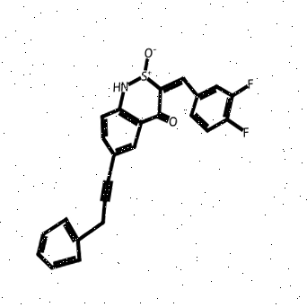 O=C1/C(=C\c2ccc(F)c(F)c2)[S+]([O-])Nc2ccc(C#CCc3ccccc3)cc21